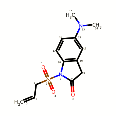 C=CCS(=O)(=O)N1C(=O)Cc2cc(N(C)C)ccc21